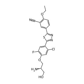 CCOc1ccc(-c2nnc(-c3cc(F)c(OC[C@H](N)CO)cc3Cl)s2)cc1C#N